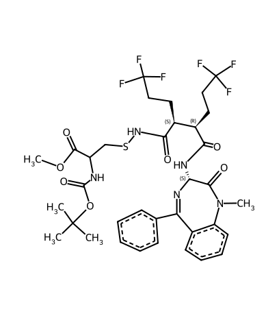 COC(=O)C(CSNC(=O)[C@@H](CCC(F)(F)F)[C@@H](CCC(F)(F)F)C(=O)N[C@H]1N=C(c2ccccc2)c2ccccc2N(C)C1=O)NC(=O)OC(C)(C)C